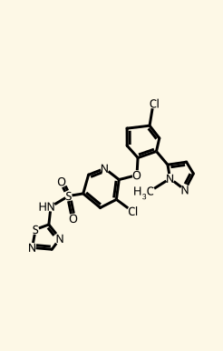 Cn1nccc1-c1cc(Cl)ccc1Oc1ncc(S(=O)(=O)Nc2ncns2)cc1Cl